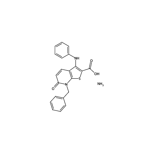 N.O=C(O)c1sc2c(ccc(=O)n2Cc2ccccc2)c1Nc1ccccc1